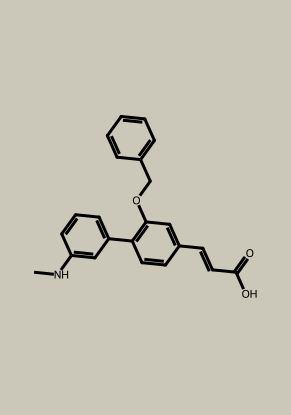 CNc1cccc(-c2ccc(C=CC(=O)O)cc2OCc2ccccc2)c1